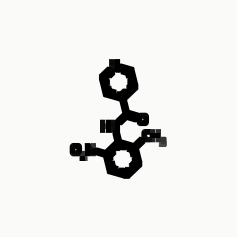 Cc1cccc([N+](=O)[O-])c1NC(=O)c1ccncc1